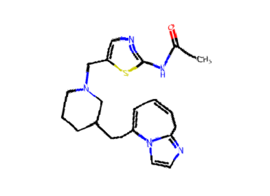 CC(=O)Nc1ncc(CN2CCCC(Cc3cccc4nccn34)C2)s1